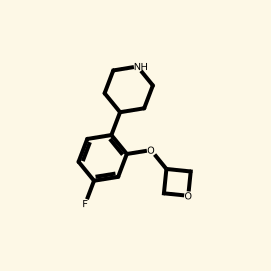 Fc1ccc(C2CCNCC2)c(OC2COC2)c1